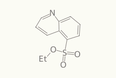 CCOS(=O)(=O)c1cccc2ncccc12